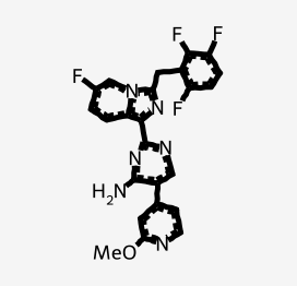 COc1cc(-c2cnc(-c3nc(Cc4c(F)ccc(F)c4F)n4cc(F)ccc34)nc2N)ccn1